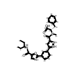 CCC(CC)NC(=O)c1cnc(-c2cccc(-c3cc(C(=O)N(C)[C@@H](Cc4ccccc4)C(=O)O)n[nH]3)c2)o1